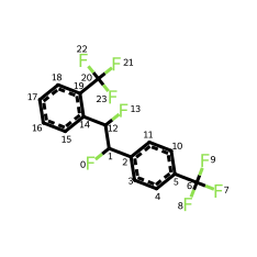 FC(c1ccc(C(F)(F)F)cc1)C(F)c1ccccc1C(F)(F)F